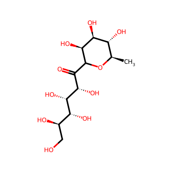 C[C@H]1OC(C(=O)[C@H](O)[C@@H](O)[C@H](O)[C@H](O)CO)[C@@H](O)[C@@H](O)[C@@H]1O